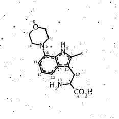 Cc1[nH]c2c(N3CCOCC3)cccc2c1CC(N)C(=O)O